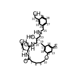 C#CC[C@@H]1NC(=O)CCCCOc2cc(F)cc(c2)C[C@@H]([C@H](O)CNCc2cccc(CC)c2)NC1=O